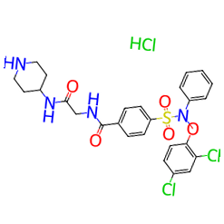 Cl.O=C(CNC(=O)c1ccc(S(=O)(=O)N(Oc2ccc(Cl)cc2Cl)c2ccccc2)cc1)NC1CCNCC1